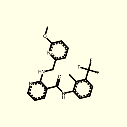 COc1cccc(CNc2ncccc2C(=O)Nc2cccc(C(F)(F)F)c2C)n1